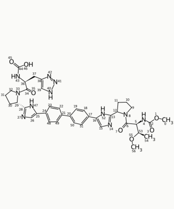 COC(=O)N[C@H](C(=O)N1CCCC1c1ncc(-c2ccc(-c3ccc(-c4cnc([C@@H]5CCCN5C(=O)[C@H](Cc5c[nH]nn5)NC(=O)O)[nH]4)cc3)cc2)[nH]1)[C@@H](C)OC